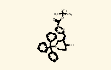 CC(C)(C)OC(=O)n1cnc(/C=C2\CN(C(c3ccccc3)(c3ccccc3)c3ccccc3)CCC2O)n1